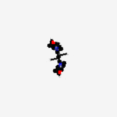 C=Cc1ccc(C2(c3ccc(C)cc3)c3ccccc3-c3ccc(N(c4ccc(-c5cc(CCCCCC)c(-c6ccc(N(c7ccc8c(c7)C(c7ccc(C)cc7)(c7ccc(C)cc7)c7ccccc7-8)c7cccc8ccccc78)cc6)cc5CCCCCC)cc4)c4cccc5ccccc45)cc32)cc1